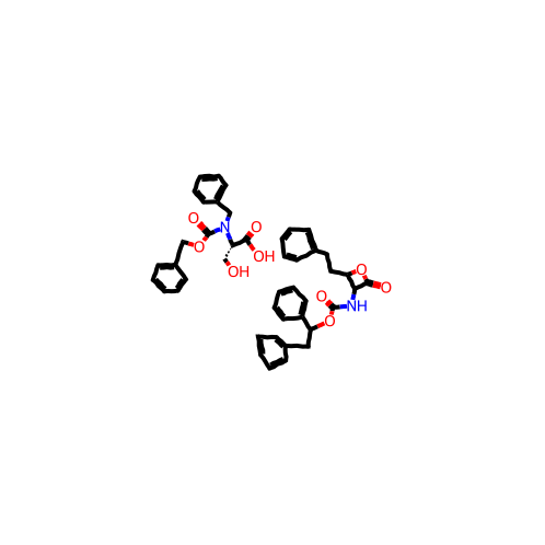 O=C(NC1C(=O)OC1CCc1ccccc1)OC(Cc1ccccc1)c1ccccc1.O=C(O)[C@H](CO)N(Cc1ccccc1)C(=O)OCc1ccccc1